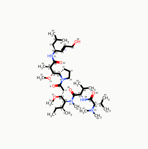 CC[C@H](C)[C@@H]([C@@H](CC(=O)N1CCC[C@H]1[C@H](OC)[C@@H](C)C(=O)N[C@H](/C=C/CO)CC(C)C)OC)N(C)C(=O)[C@@H](NC(=O)[C@H](C(C)C)N(C)C)C(C)C